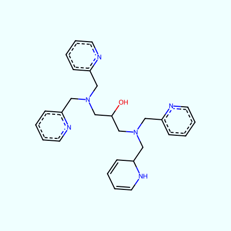 OC(CN(Cc1ccccn1)Cc1ccccn1)CN(Cc1ccccn1)CC1C=CC=CN1